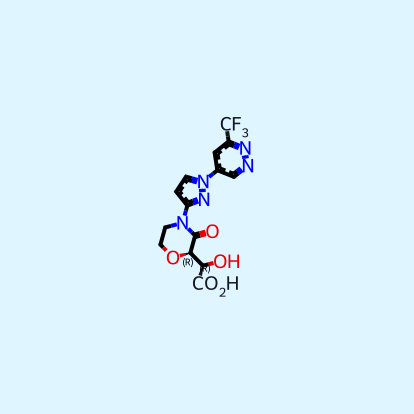 O=C(O)[C@H](O)[C@H]1OCCN(c2ccn(-c3cnnc(C(F)(F)F)c3)n2)C1=O